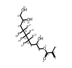 C=C(C)C(=O)OCC(O)CC(F)(F)C(F)(F)C(F)(F)CC(O)CO